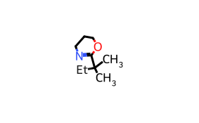 CCC(C)(C)C1=NCCCO1